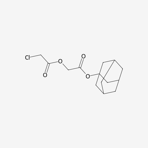 O=C(CCl)OCC(=O)OC12CC3CC(CC(C3)C1)C2